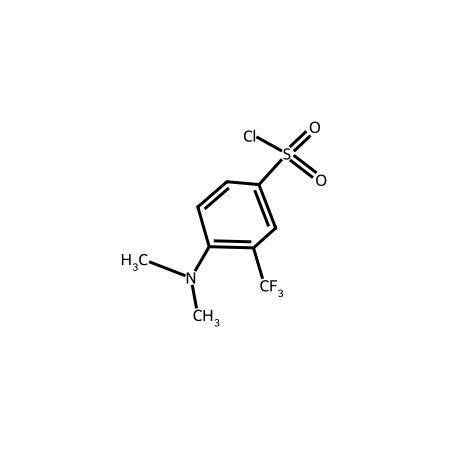 CN(C)c1ccc(S(=O)(=O)Cl)cc1C(F)(F)F